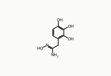 NC(Cc1ccc(O)c(O)c1O)=NO